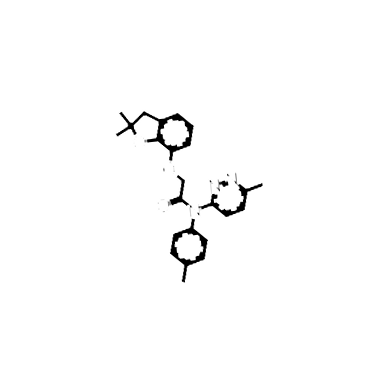 Cc1ccc(N(C(=O)COc2cccc3c2OC(C)(C)C3)c2ccc(C)nn2)cc1